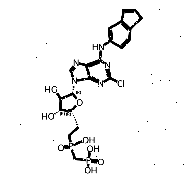 O=P(O)(O)CP(=O)(O)CC[C@H]1O[C@@H](n2cnc3c(Nc4ccc5c(c4)C=CC5)nc(Cl)nc32)C(O)[C@H]1O